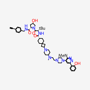 C#Cc1ccc(CNC(=O)[C@@H]2C[C@@H](O)CN2C(=O)[C@@H](NC(=O)[C@H]2CCC3(CC2)C[C@H](N2CCC(N(C)CCN4CCN(c5cc(-c6ccccc6O)nnc5NC)[C@@H](C)C4)CC2)C3)C(C)(C)C)cc1